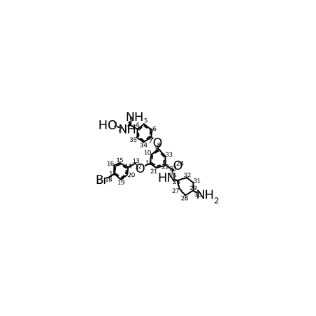 N=C(NO)c1ccc(Oc2cc(OCc3ccc(Br)cc3)cc(C(=O)NC3CCC(N)CC3)c2)cc1